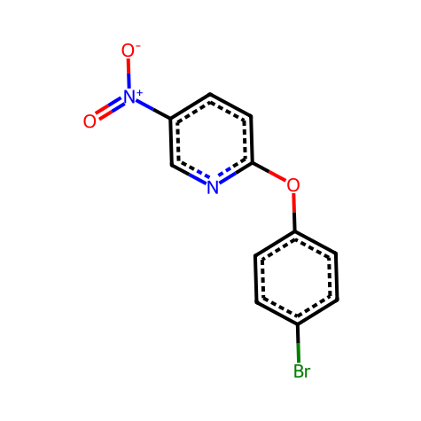 O=[N+]([O-])c1ccc(Oc2ccc(Br)cc2)nc1